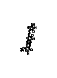 CC(C)(C)OC(=O)N[C@@H](Cc1ccc2c(c1)NC(=O)C(CCCC1NC(=N)NC1=O)O2)C(=O)O